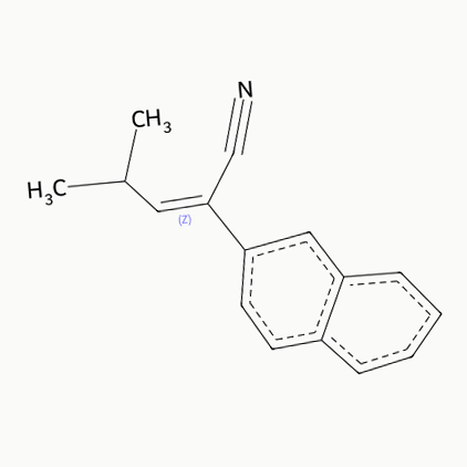 CC(C)/C=C(\C#N)c1ccc2ccccc2c1